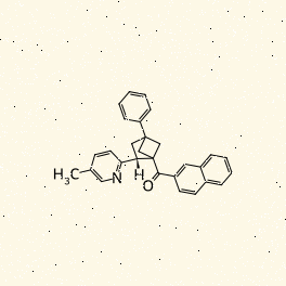 Cc1ccc([C@@H]2CC3(c4ccccc4)CC2(C(=O)c2ccc4ccccc4c2)C3)nc1